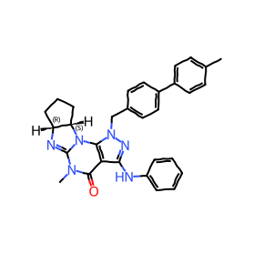 Cc1ccc(-c2ccc(Cn3nc(Nc4ccccc4)c4c3N3C(=N[C@@H]5CCC[C@@H]53)N(C)C4=O)cc2)cc1